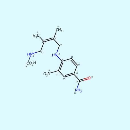 CC(CNC(=O)O)=C(C)CNc1ccc(C(N)=O)cc1[N+](=O)[O-]